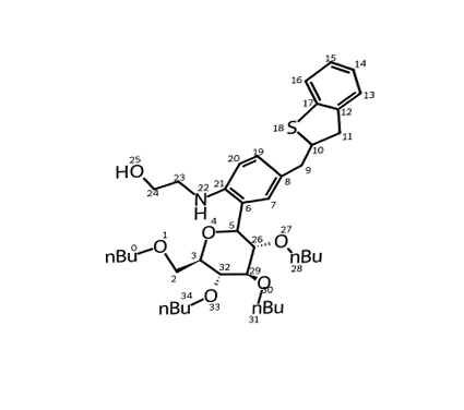 CCCCOC[C@H]1OC(c2cc(CC3Cc4ccccc4S3)ccc2NCCO)[C@H](OCCCC)[C@@H](OCCCC)[C@@H]1OCCCC